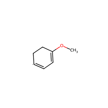 COC1=CC=[C]CC1